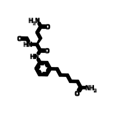 NC(=O)CCCCCc1cccc(NC(=O)[C@H](CCC(N)=O)NC=O)c1